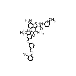 Cc1cc(Oc2cccc(COc3ccccc3C#N)c2)ccc1C1(N)C(=O)C(N)c2c(C(=O)NC3CCCN(C)C3)sc3c(N)ccc1c23